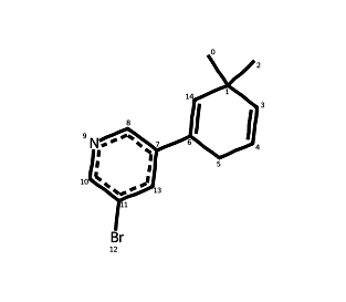 CC1(C)C=CCC(c2cncc(Br)c2)=C1